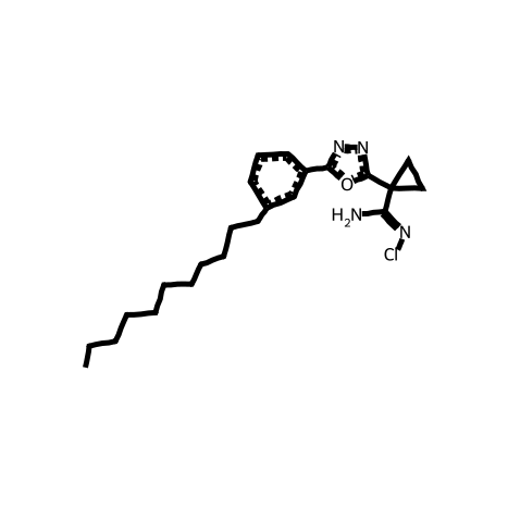 CCCCCCCCCCCc1cccc(-c2nnc(C3(/C(N)=N/Cl)CC3)o2)c1